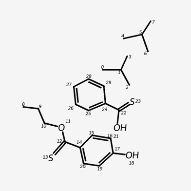 CC(C)C.CC(C)C.CCCOC(=S)c1ccc(O)cc1.OC(=S)c1ccccc1